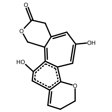 O=C1CC2=CC(O)=Cc3c4c(cc(O)c3=C2CO1)=CCCO4